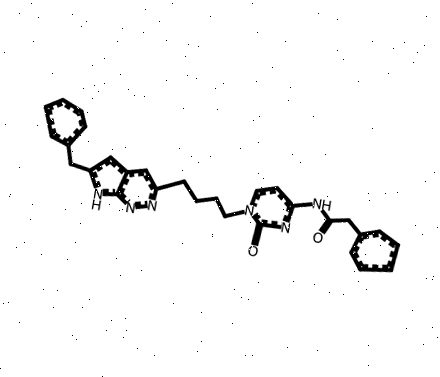 O=C(Cc1ccccc1)Nc1ccn(CCCCc2cc3cc(Cc4ccccc4)[nH]c3nn2)c(=O)n1